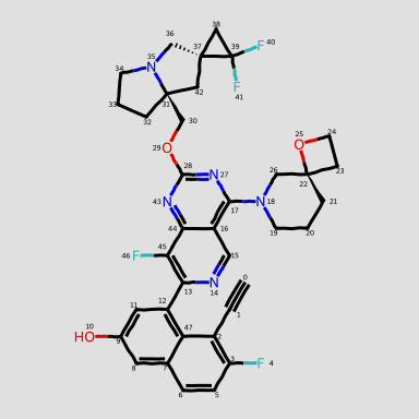 C#Cc1c(F)ccc2cc(O)cc(-c3ncc4c(N5CCC[C@@]6(CCO6)C5)nc(OC[C@@]56CCCN5C[C@@]5(CC5(F)F)C6)nc4c3F)c12